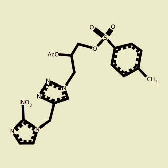 CC(=O)OC(COS(=O)(=O)c1ccc(C)cc1)Cn1cc(Cn2ccnc2[N+](=O)[O-])nn1